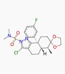 C[C@H]1[C@@H]2CCc3c(nn(S(=O)(=O)N(C)C)c3Cl)[C@@]2(c2cccc(F)c2)CCC12OCCO2